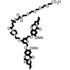 C/C=C1\CC2C=Nc3cc(OCc4cc(OCCN5CCN(C(=O)CCC(C)(C)SCC(=O)NCCOCCOCCOCCOCCC(=O)O)CC5)cc(COc5cc6c(cc5OC)C(=O)N5C/C(=C/C)C[C@H]5C=N6)n4)c(OC)cc3C(=O)N2C1